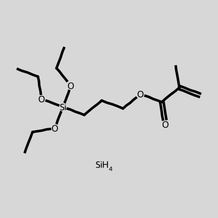 C=C(C)C(=O)OCCC[Si](OCC)(OCC)OCC.[SiH4]